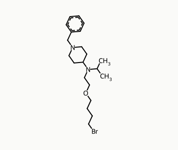 CC(C)N(CCOCCCCBr)C1CCN(Cc2ccccc2)CC1